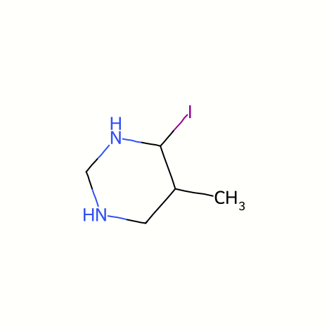 CC1CNCNC1I